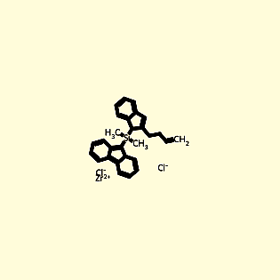 C=CCCC1=Cc2ccccc2C1[Si](C)(C)C1=c2ccccc2=C2C=CC=CC21.[Cl-].[Cl-].[Zr+2]